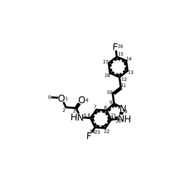 COCC(=O)Nc1cc2c(/C=C/c3ccc(F)cc3)n[nH]c2cc1F